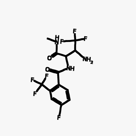 CNC(=O)C(NC(=O)c1ccc(F)cc1C(F)(F)F)C(N)C(F)(F)F